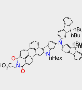 CCCCCCn1c2cc(N(c3ccc4c(c3)C(CCCC)(CCCC)c3ccccc3-4)c3ccc4c(c3)C(CCCC)(CCCC)c3ccccc3-4)ccc2c2c3cccc4c5ccc6c7c(ccc(c(cc21)c43)c75)C(=O)N(CC(=O)O)C6=O